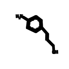 Nc1ccc(C=CCO)cc1